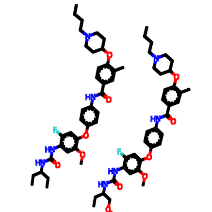 CCCCN1CCC(Oc2ccc(C(=O)Nc3ccc(Oc4cc(F)c(NC(=O)NC(CC)CC)cc4OC)cc3)cc2C)CC1.CCCCN1CCC(Oc2ccc(C(=O)Nc3ccc(Oc4cc(F)c(NC(=O)NC(CC)COC)cc4OC)cc3)cc2C)CC1